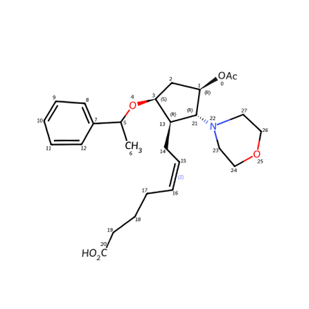 CC(=O)O[C@@H]1C[C@H](OC(C)c2ccccc2)[C@H](C/C=C\CCCC(=O)O)[C@H]1N1CCOCC1